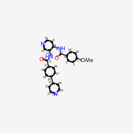 COc1ccc(C(=O)Nc2ccncc2NC(=O)c2ccc(-c3ccncc3)cc2)cc1